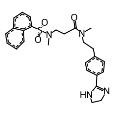 CN(CCc1ccc(C2=NCCN2)cc1)C(=O)CCN(C)S(=O)(=O)c1cccc2ccccc12